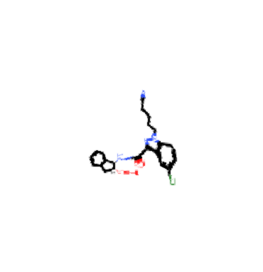 N#CCCCCn1nc(C(=O)N[C@H]2c3ccccc3C[C@H]2O)c2cc(Cl)ccc21